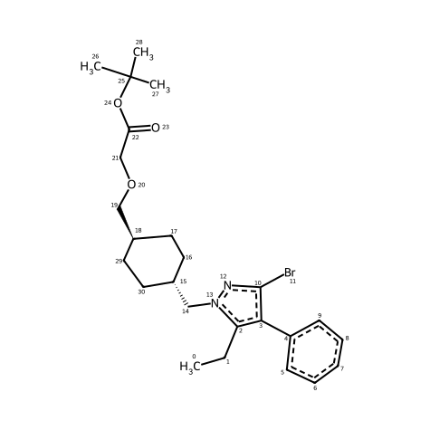 CCc1c(-c2ccccc2)c(Br)nn1C[C@H]1CC[C@H](COCC(=O)OC(C)(C)C)CC1